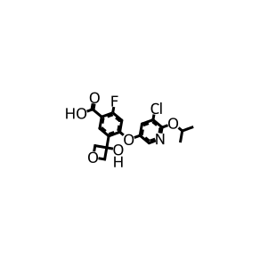 CC(C)Oc1ncc(Oc2cc(F)c(C(=O)O)cc2C2(O)COC2)cc1Cl